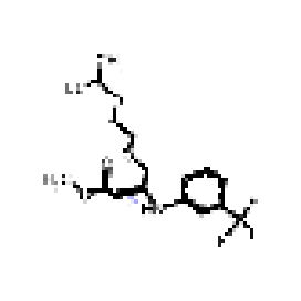 COC(=O)/C=C(\COCCOC(C)C)Nc1cccc(C(F)(F)F)c1